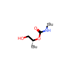 CC(C)(C)NC(=O)O[C@@H](CO)C(C)(C)C